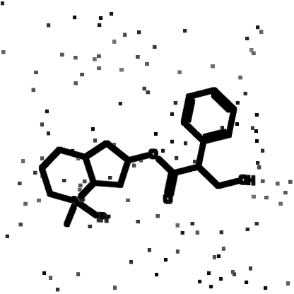 CC(C)[N+]1(C)CCCC2CC(OC(=O)C(CO)c3ccccc3)CC21